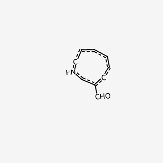 O=Cc1cccccc[nH]c1